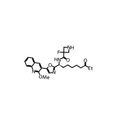 CCC(=O)CCCCC[C@H](NC(=O)C1(F)CNC1)c1ncc(-c2cc3ccccc3nc2OC)o1